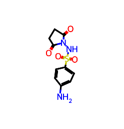 Nc1ccc(S(=O)(=O)NN2C(=O)CCC2=O)cc1